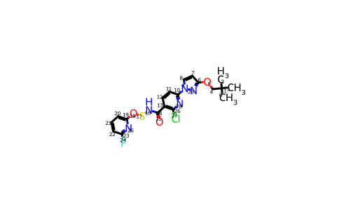 CC(C)(C)COc1ccn(-c2ccc(C(=O)NSOc3cccc(F)n3)c(Cl)n2)n1